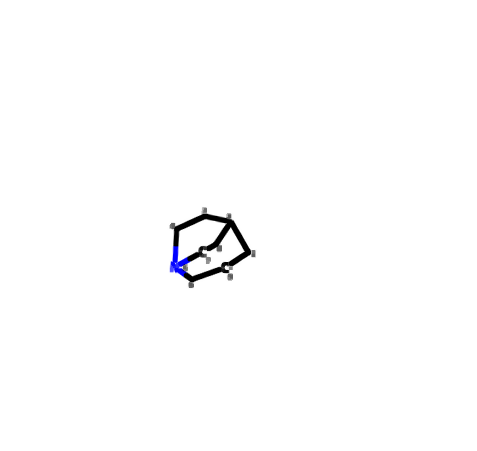 [CH]1CC2CCN(C1)CC2